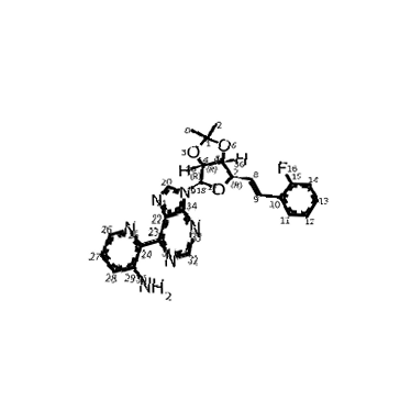 CC1(C)O[C@@H]2[C@H](O1)[C@@H](C=Cc1ccccc1F)O[C@H]2n1cnc2c(-c3ncccc3N)ncnc21